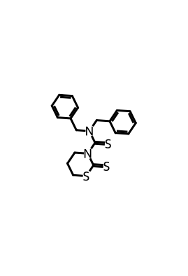 S=C1SCCCN1C(=S)N(Cc1ccccc1)Cc1ccccc1